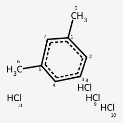 Cc1cccc(C)c1.Cl.Cl.Cl.Cl